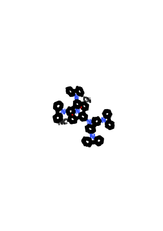 N#Cc1ccc(-c2cc(-n3c4ccc(-n5c6ccccc6c6ccccc65)cc4c4cc(-n5c6ccccc6c6ccccc65)ccc43)cc(-c3ccc(C#N)cc3)c2-n2c3ccc(-n4c5ccccc5c5ccccc54)cc3c3cc(-n4c5ccccc5c5ccccc54)ccc32)cc1